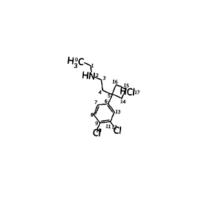 CCNCCC1(c2ccc(Cl)c(Cl)c2)CCC1.Cl